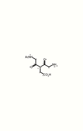 CC(=O)NCC(=O)N(CC(=O)O)C(=O)CN